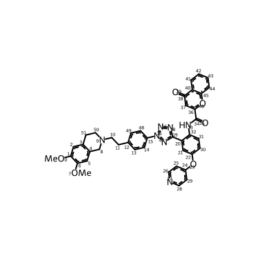 COc1cc2c(cc1OC)CN(CCc1ccc(-n3nnc(-c4cc(Oc5ccncc5)ccc4NC(=O)c4cc(=O)c5ccccc5o4)n3)cc1)CC2